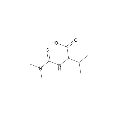 CC(C)C(NC(=S)N(C)C)C(=O)O